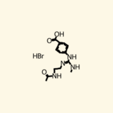 Br.CNC(=NCCNC(C)=O)Nc1ccc(C(=O)O)cc1